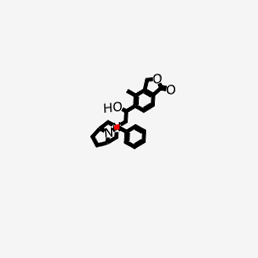 Cc1c(C(O)CN2CC3CCC(C2)N3Cc2ccccc2)ccc2c1COC2=O